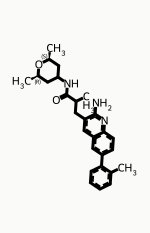 Cc1ccccc1-c1ccc2nc(N)c(CC(C)C(=O)NC3C[C@@H](C)O[C@@H](C)C3)cc2c1